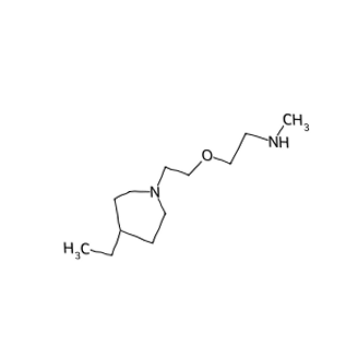 CCC1CCN(CCOCCNC)CC1